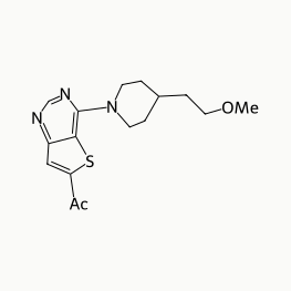 COCCC1CCN(c2ncnc3cc(C(C)=O)sc23)CC1